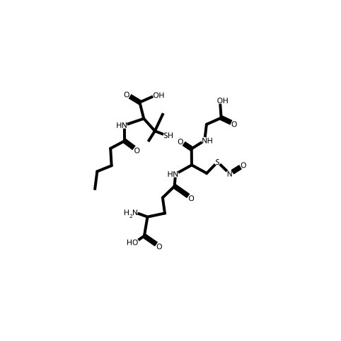 CCCCC(=O)NC(C(=O)O)C(C)(C)S.NC(CCC(=O)NC(CSN=O)C(=O)NCC(=O)O)C(=O)O